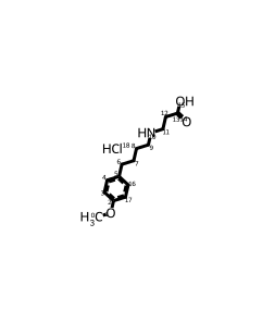 COc1ccc(CCCCNCCC(=O)O)cc1.Cl